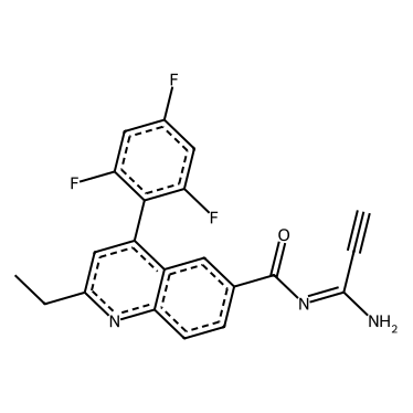 C#C/C(N)=N\C(=O)c1ccc2nc(CC)cc(-c3c(F)cc(F)cc3F)c2c1